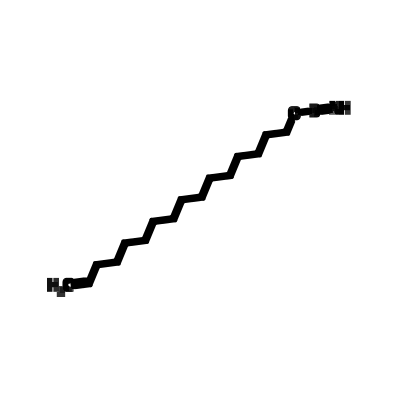 C=CCCCCCCCCCCCCCCOB=N